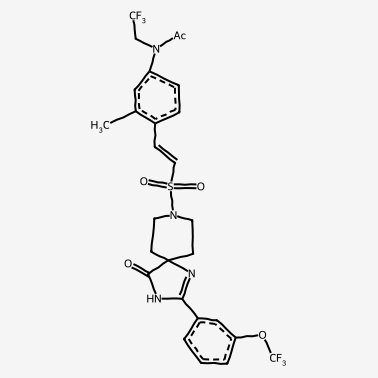 CC(=O)N(CC(F)(F)F)c1ccc(/C=C/S(=O)(=O)N2CCC3(CC2)N=C(c2cccc(OC(F)(F)F)c2)NC3=O)c(C)c1